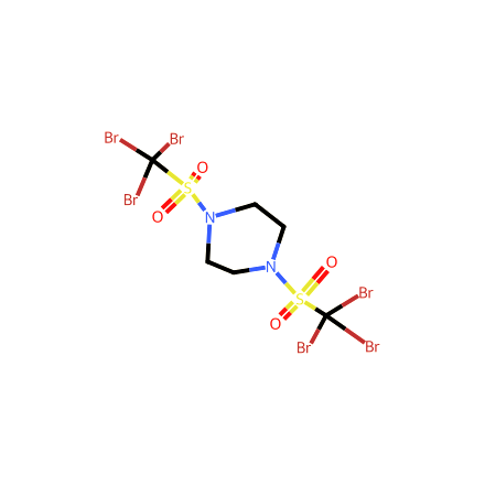 O=S(=O)(N1CCN(S(=O)(=O)C(Br)(Br)Br)CC1)C(Br)(Br)Br